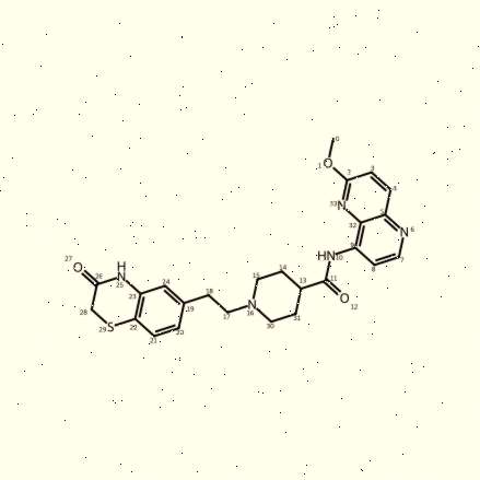 COc1ccc2nccc(NC(=O)C3CCN(CCc4ccc5c(c4)NC(=O)CS5)CC3)c2n1